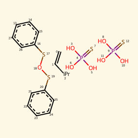 C=CC(C)C.OP(O)(O)=S.OP(O)(O)=S.c1ccc(SOSc2ccccc2)cc1